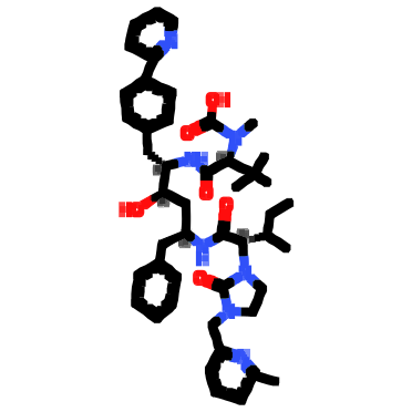 CCC(C)[C@@H](C(=O)N[C@@H](Cc1ccccc1)C[C@@H](O)[C@H](Cc1ccc(-c2ccccn2)cc1)NC(=O)[C@@H](N(C)C(=O)O)C(C)(C)C)N1CCN(Cc2cccc(C)n2)C1=O